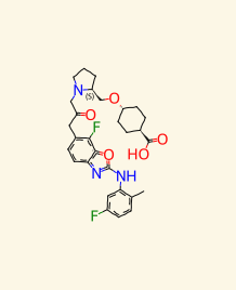 Cc1ccc(F)cc1Nc1nc2ccc(CC(=O)CN3CCC[C@H]3CO[C@H]3CC[C@H](C(=O)O)CC3)c(F)c2o1